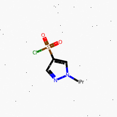 CC(C)n1cc(S(=O)(=O)Cl)cn1